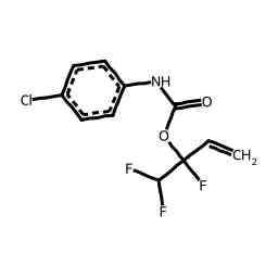 C=CC(F)(OC(=O)Nc1ccc(Cl)cc1)C(F)F